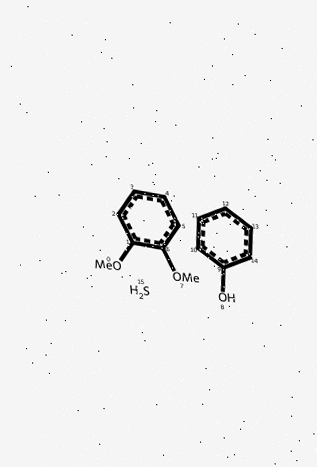 COc1ccccc1OC.Oc1ccccc1.S